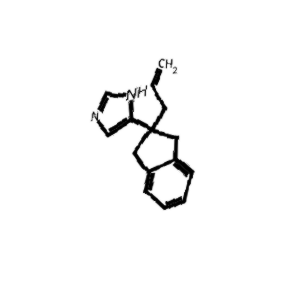 C=CCC1(c2cnc[nH]2)Cc2ccccc2C1